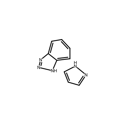 c1ccc2[nH]nnc2c1.c1cn[nH]c1